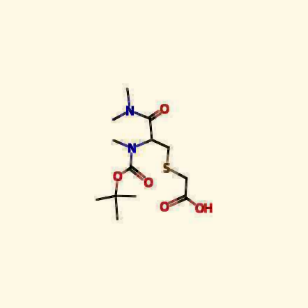 CN(C)C(=O)C(CSCC(=O)O)N(C)C(=O)OC(C)(C)C